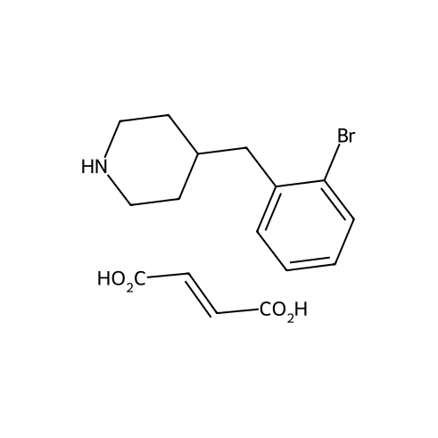 Brc1ccccc1CC1CCNCC1.O=C(O)C=CC(=O)O